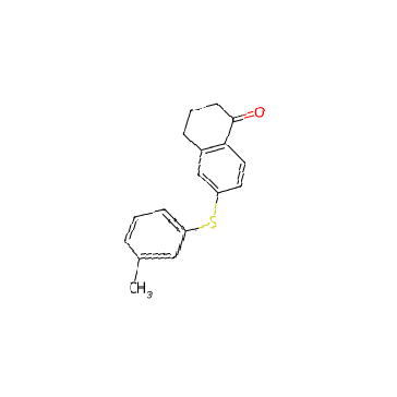 Cc1cccc(Sc2ccc3c(c2)CCCC3=O)c1